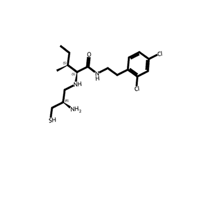 CC[C@H](C)[C@H](NC[C@@H](N)CS)C(=O)NCCc1ccc(Cl)cc1Cl